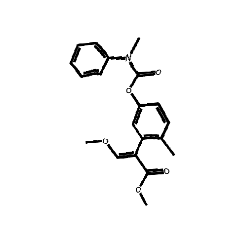 CO/C=C(/C(=O)OC)c1cc(OC(=O)N(C)c2ccccc2)ccc1C